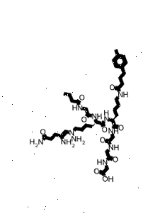 CCCC(=O)NCC(=O)N[C@@H](CCCCN(N)/C=C(\N)CCC(N)=O)C(=O)N[C@@H](CCCCNC(=O)CCCc1ccc(C)cc1)C(=O)NCC(=O)NCC(=O)NCC(=O)O